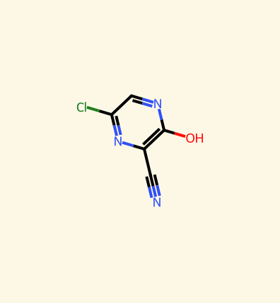 N#Cc1nc(Cl)cnc1O